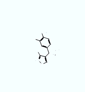 COc1ccc([C@H](N)c2c[nH]nc2C)cc1F.Cl